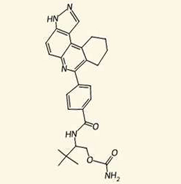 CC(C)(C)C(COC(N)=O)NC(=O)c1ccc(-c2nc3ccc4[nH]ncc4c3c3c2CCCC3)cc1